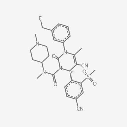 CC1=C(C#N)[C@@H](c2ccc(C#N)cc2S(C)(=O)=O)N(C(=O)N(C)C2CCN(C)CC2)C(=O)N1c1cccc(CF)c1